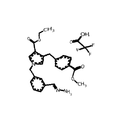 CCOC(=O)c1cn(Cc2cccc(C=NN)c2)cc1Cc1ccc(C(=O)OC)cc1.O=C(O)C(F)(F)F